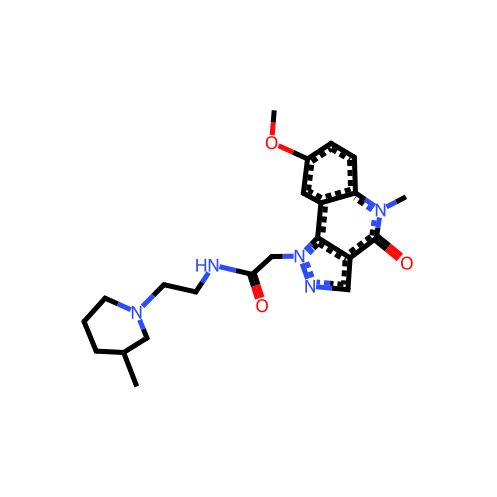 COc1ccc2c(c1)c1c(cnn1CC(=O)NCCN1CCCC(C)C1)c(=O)n2C